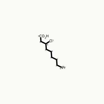 CC(C)CCCCCC(Cl)CC(=O)O